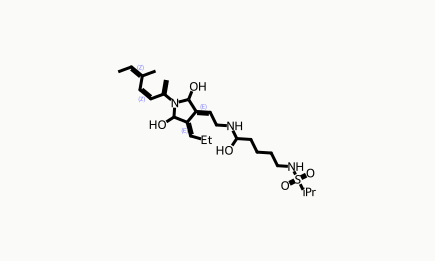 C=C(/C=C\C(C)=C/C)N1C(O)C(=C/CC)/C(=C\CNC(O)CCCCNS(=O)(=O)C(C)C)C1O